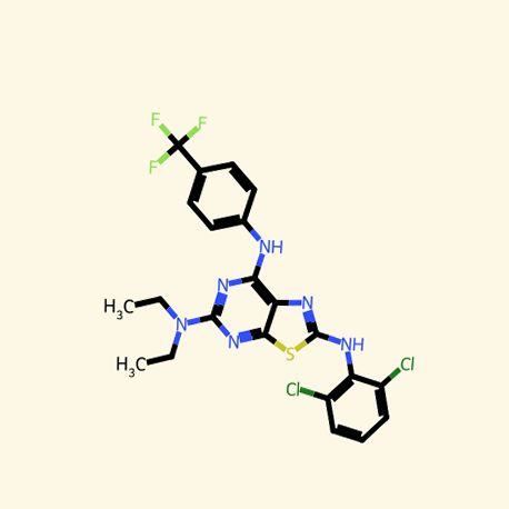 CCN(CC)c1nc(Nc2ccc(C(F)(F)F)cc2)c2nc(Nc3c(Cl)cccc3Cl)sc2n1